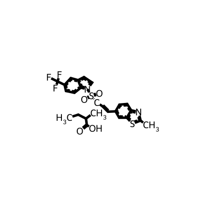 CCC(C)C(=O)O.Cc1nc2ccc(C=CCS(=O)(=O)n3ccc4cc(C(F)(F)F)ccc43)cc2s1